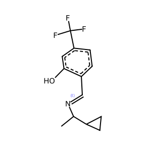 CC(/N=C/c1ccc(C(F)(F)F)cc1O)C1CC1